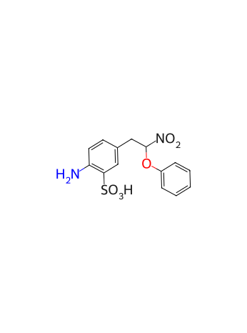 Nc1ccc(CC(Oc2ccccc2)[N+](=O)[O-])cc1S(=O)(=O)O